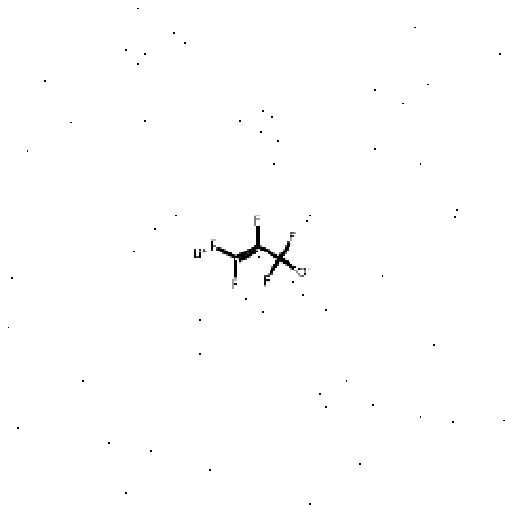 [Li+].[O-]C(F)(F)C(F)=C(F)F